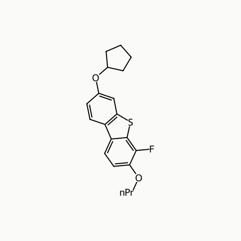 CCCOc1ccc2c(sc3cc(OC4CCCC4)ccc32)c1F